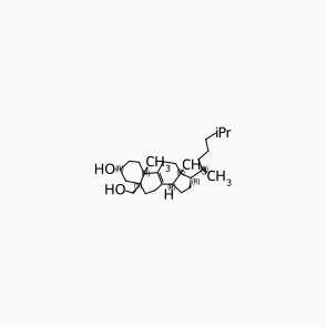 CC(C)CCC[C@@H](C)[C@H]1CC[C@H]2C3=C(CC[C@]12C)[C@@]1(C)CC[C@@H](O)C[C@@]1(CO)CC3